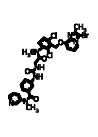 Cc1nc2c(OCc3c(Cl)ccc(N(C)C(=O)CNC(=O)Nc4cccc(C(=O)N(C)c5cccnc5)c4)c3Cl)cccn2c1Br